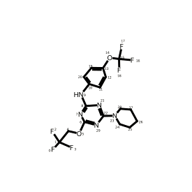 FC(F)(F)COc1nc(Nc2ccc(OC(F)(F)F)cc2)nc(N2CCCCC2)n1